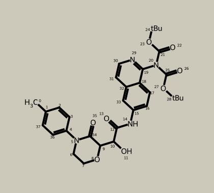 Cc1ccc(N2CCOC(C(O)C(=O)Nc3ccc4c(N(C(=O)OC(C)(C)C)C(=O)OC(C)(C)C)nccc4c3)C2=O)cc1